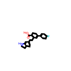 O=C(O)c1ccc(-c2ccc(F)cc2)cc1/C=C/c1ccc2cc[nH]c2c1